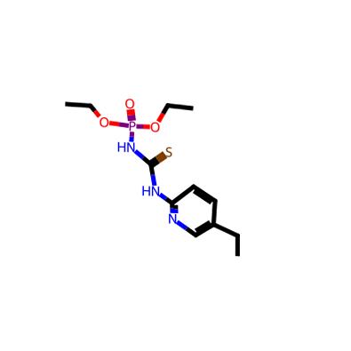 CCOP(=O)(NC(=S)Nc1ccc(CC)cn1)OCC